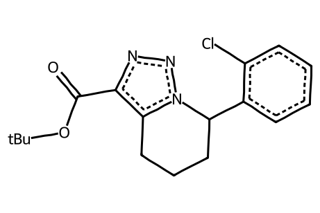 CC(C)(C)OC(=O)c1nnn2c1CCCC2c1ccccc1Cl